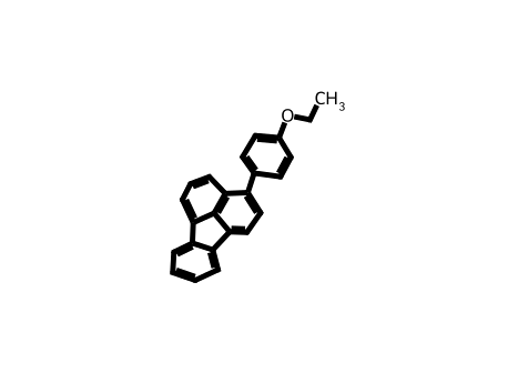 CCOc1ccc(-c2ccc3c4c(cccc24)-c2ccccc2-3)cc1